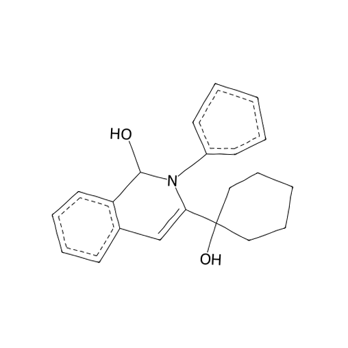 OC1c2ccccc2C=C(C2(O)CCCCC2)N1c1ccccc1